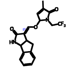 CC1=CC(O/C=C2/C(=O)NC3c4ccccc4CC23)N(CC(F)(F)F)C1=O